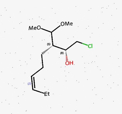 CC/C=C\CC[C@H](C(OC)OC)[C@@H](O)CCl